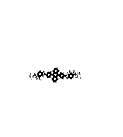 C[Si](C)(C)c1ccc2nc(-c3ccc(-c4c5ccccc5c(-c5ccc(-c6nc7ccc([Si](C)(C)C)cc7s6)cc5)c5ccccc45)cc3)sc2c1